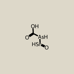 [O]=[SnH][AsH]C(=O)O